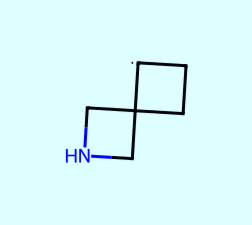 [CH]1CCC12CNC2